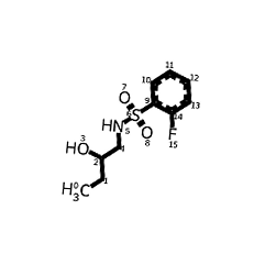 CCC(O)CNS(=O)(=O)c1ccccc1F